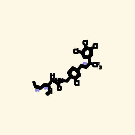 C=N/C(=C\C=C/C)NC(=O)NCc1ccc(/C=C/C(c2cc(Cl)c(Cl)c(Cl)c2)C(F)(F)F)cc1Cl